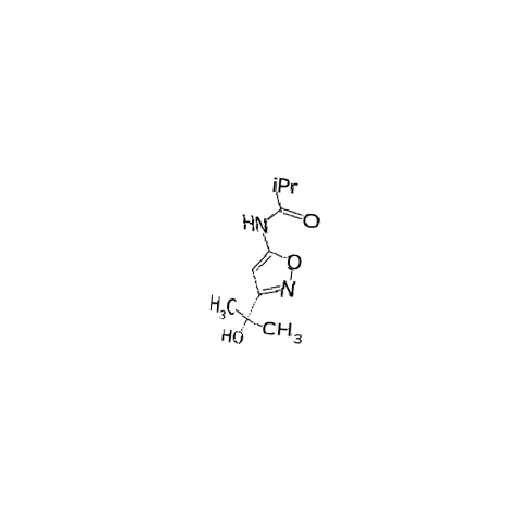 CC(C)C(=O)Nc1cc(C(C)(C)O)no1